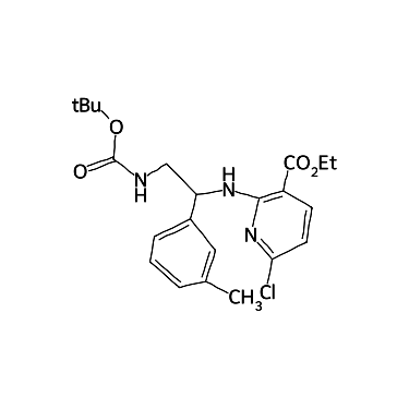 CCOC(=O)c1ccc(Cl)nc1NC(CNC(=O)OC(C)(C)C)c1cccc(C)c1